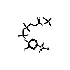 CC(C)(CCC(=O)OC(C)(C)C)CC(C)(C)Oc1ccc(S(N)(=O)=O)cc1F